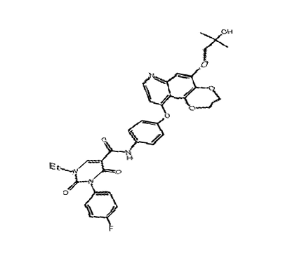 CCn1cc(C(=O)Nc2ccc(Oc3ccnc4cc(OCC(C)(C)O)c5c(c34)OCCO5)cc2)c(=O)n(-c2ccc(F)cc2)c1=O